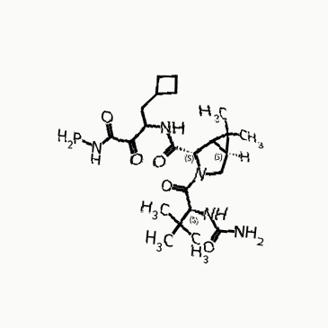 CC(C)(C)[C@H](NC(N)=O)C(=O)N1C[C@H]2C([C@H]1C(=O)NC(CC1CCC1)C(=O)C(=O)NP)C2(C)C